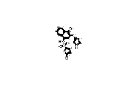 O=S(=O)(Nc1cc(Sc2nc[nH]n2)c(O)c2ccccc12)c1ccc(Cl)s1